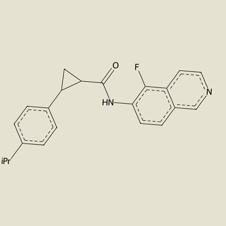 CC(C)c1ccc(C2CC2C(=O)Nc2ccc3cnccc3c2F)cc1